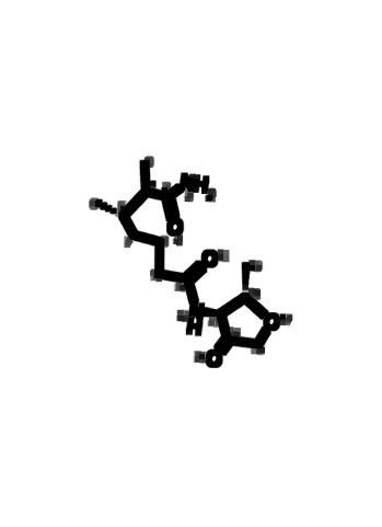 CC(C(N)=O)[C@@H](C)CC[CH]C(=O)N[C@@H]1C(=O)CO[C@H]1C